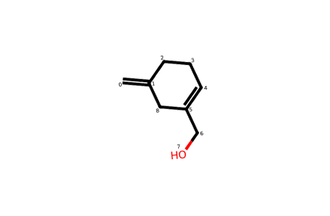 C=C1CCC=C(CO)C1